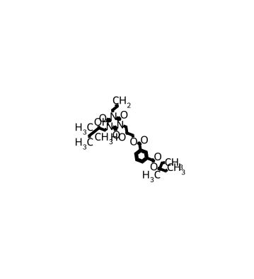 C=CCn1c(=O)n(CC(O)COC(=O)c2cccc(C(=O)OC(C)(CC)CC)c2)c(=O)n(CC(O)C(C)(C)CC)c1=O